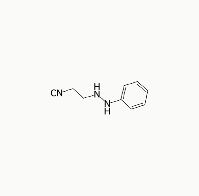 [C-]#[N+]CCNNc1ccccc1